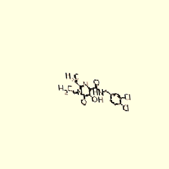 C=Cc1nc(C(=O)NCc2ccc(Cl)c(Cl)c2)c(O)c(=O)n1C=C